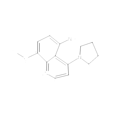 O=Nc1ccc(OI)c2nccc(N3CCCC3)c12